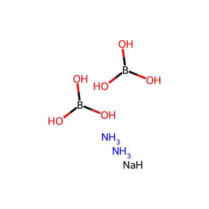 N.N.OB(O)O.OB(O)O.[NaH]